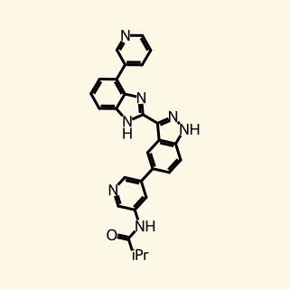 CC(C)C(=O)Nc1cncc(-c2ccc3[nH]nc(-c4nc5c(-c6cccnc6)cccc5[nH]4)c3c2)c1